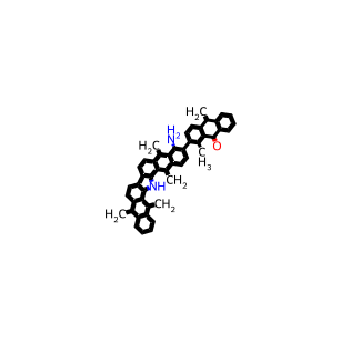 C=C1c2ccccc2C(=O)c2c1ccc(-c1ccc3c(=C)c4c(ccc5c6ccc7c(=C)c8ccccc8c(=C)c7c6[nH]c54)c(=C)c3c1N)c2C